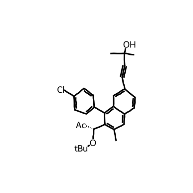 CC(=O)[C@@H](OC(C)(C)C)c1c(C)cc2ccc(C#CC(C)(C)O)cc2c1-c1ccc(Cl)cc1